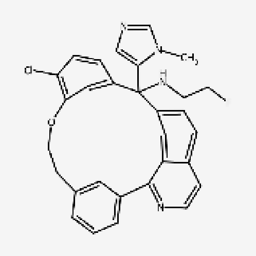 Cn1cncc1C1(NCCF)c2ccc(Cl)c(c2)OCCc2cccc(c2)-c2nccc3ccc1cc23